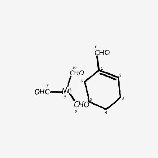 O=CC1=CCCCC1.O=[CH][Mn]([CH]=O)[CH]=O